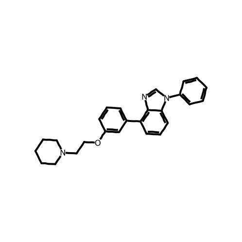 c1ccc(-n2cnc3c(-c4cccc(OCCN5CCCCC5)c4)cccc32)cc1